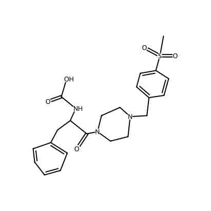 CS(=O)(=O)c1ccc(CN2CCN(C(=O)C(Cc3ccccc3)NC(=O)O)CC2)cc1